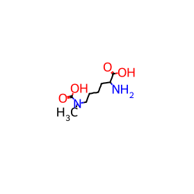 CN(CCCCC(N)C(=O)O)C(=O)O